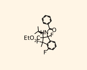 CCOC(=O)C1(C=C(C)C)C(C)(F)c2c(F)cccc2C1(F)NC(=O)c1ccccc1